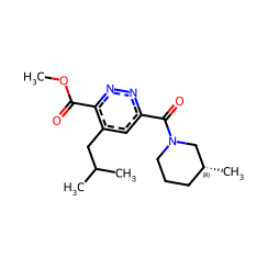 COC(=O)c1nnc(C(=O)N2CCC[C@@H](C)C2)cc1CC(C)C